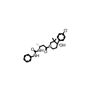 C[C@H](CC(=O)N1CC[C@](O)(c2ccc(Cl)cc2)C(C)(C)C1)NC(=O)Nc1ccccc1